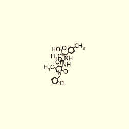 Cc1ccc([C@@H](NC(=O)Nc2c(O)c(C)cn(Cc3ccccc3Cl)c2=O)[C@H](C)C(=O)O)cc1